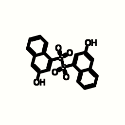 O=S(=O)(c1cc(O)cc2ccccc12)S(=O)(=O)c1cc(O)cc2ccccc12